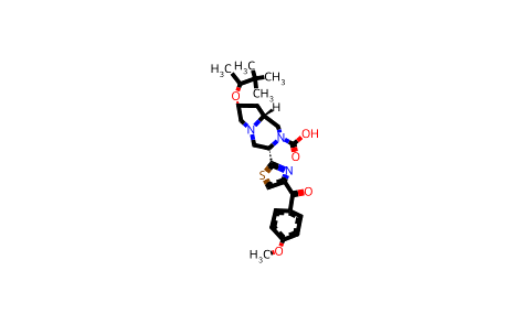 COc1ccc(C(=O)c2csc([C@@H]3CN4C[C@H](OC(C)C(C)(C)C)C[C@@H]4CN3C(=O)O)n2)cc1